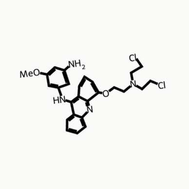 COc1cc(N)cc(Nc2c3ccccc3nc3c(OCCN(CCCl)CCCl)cccc23)c1